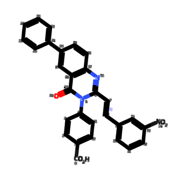 O=C(O)c1ccc(-n2c(/C=C/c3cccc([N+](=O)[O-])c3)nc3ccc(-c4ccccc4)cc3c2=O)cc1